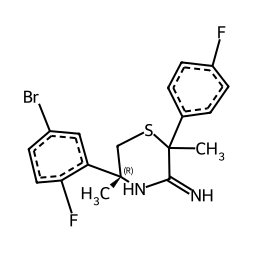 CC1(c2ccc(F)cc2)SC[C@@](C)(c2cc(Br)ccc2F)NC1=N